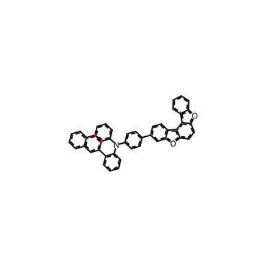 c1ccc(N(c2ccc(-c3ccc4c(c3)oc3ccc5oc6ccccc6c5c34)cc2)c2ccccc2-c2ccc3ccccc3c2)cc1